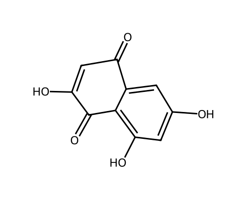 O=C1C=C(O)C(=O)c2c(O)cc(O)cc21